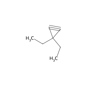 CCC1(CC)C#C1